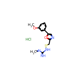 C=NC(=N)NSCc1ncc(-c2cccc(OC)c2)o1.Cl